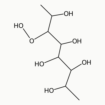 CC(O)C(O)C(O)C(O)C(OO)C(C)O